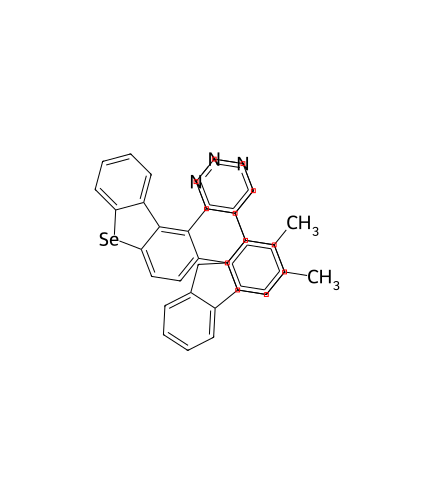 Cc1cc2c(c(-c3cnnnc3-c3c(-c4ccccc4-c4ccccc4)ccc4[se]c5ccccc5c34)c1C)Cc1ccccc1-2